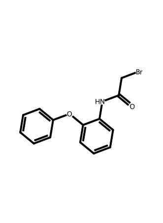 O=C(CBr)Nc1ccccc1Oc1ccccc1